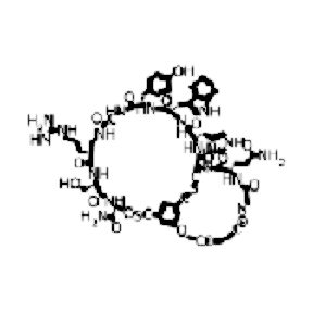 N=C(N)NCCC[C@H]1CNC(=O)CNC(=O)[C@H](Cc2ccc(O)cc2)NC(=O)[C@H](Cc2c[nH]c3ccccc23)NC(=O)[C@H](Cc2c[nH]cn2)NC(=O)[C@@H]2CSCc3cc(cc(c3)OCCCCCCO/N=C/C(=O)N[C@@H](CCC(N)=O)C(=O)N2)CSC[C@@H](C(N)=O)NC(=O)[C@@H](CO)NC1=O